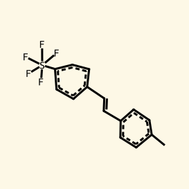 Cc1ccc(C=Cc2ccc(S(F)(F)(F)(F)F)cc2)cc1